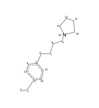 CCc1ccc(CCCCN2CCCC2)cc1